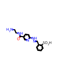 NCCNC(=O)c1ccc(NN=Cc2ccccc2S(=O)(=O)O)nc1